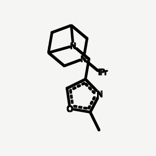 Cc1nc(CN2C3CC2CN(C(C)C)C3)co1